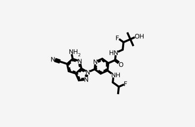 CC(F)CNc1cc(-n2ncc3cc(C#N)c(N)nc32)ncc1C(=O)NCC(F)C(C)(C)O